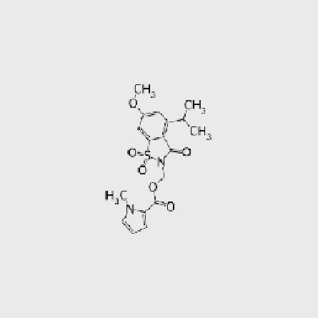 COc1cc(C(C)C)c2c(c1)S(=O)(=O)N(COC(=O)c1cccn1C)C2=O